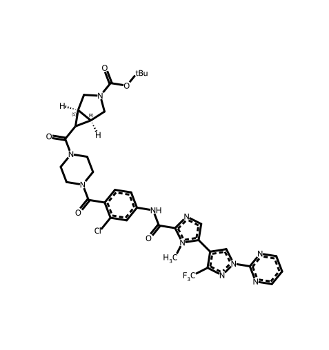 Cn1c(-c2cn(-c3ncccn3)nc2C(F)(F)F)cnc1C(=O)Nc1ccc(C(=O)N2CCN(C(=O)C3[C@H]4CN(C(=O)OC(C)(C)C)C[C@@H]34)CC2)c(Cl)c1